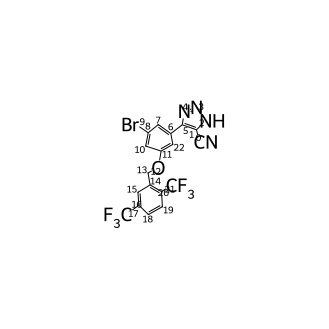 N#Cc1[nH]nnc1-c1cc(Br)cc(OCc2cc(C(F)(F)F)ccc2C(F)(F)F)c1